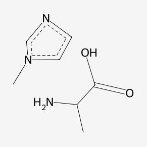 CC(N)C(=O)O.Cn1ccnc1